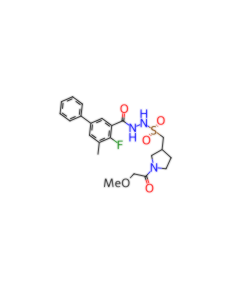 COCC(=O)N1CCC(CS(=O)(=O)NNC(=O)c2cc(-c3ccccc3)cc(C)c2F)C1